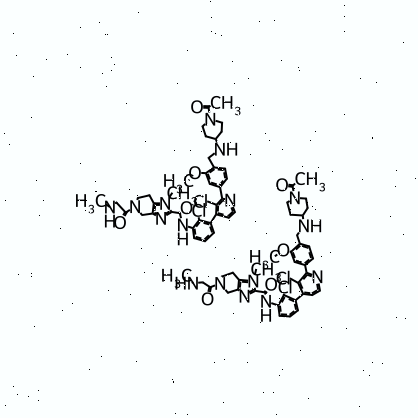 CNCC(=O)N1CCc2c(nc(C(=O)Nc3cccc(-c4ccnc(-c5ccc(CNC6CCN(C(C)=O)CC6)c(OC)c5)c4Cl)c3Cl)n2C)C1.CNCC(=O)N1CCc2c(nc(C(=O)Nc3cccc(-c4ccnc(-c5ccc(CNC6CCN(C(C)=O)CC6)c(OC)c5)c4Cl)c3Cl)n2C)C1